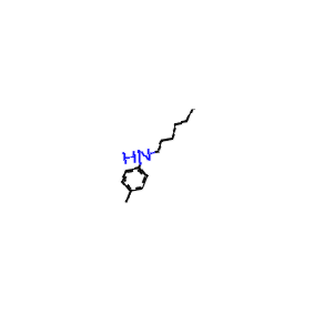 CCCCCCNc1ccc(C)cc1